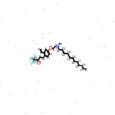 C=Cc1cc(OCCN(C)CCCCCCCCCCCC)ccc1CCC(=O)C(F)(F)F